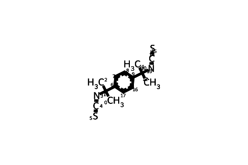 CC(C)(N=C=S)c1ccc(C(C)(C)N=C=S)cc1